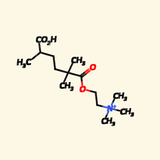 CC(CCC(C)(C)C(=O)OCC[N+](C)(C)C)C(=O)O